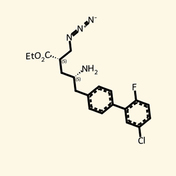 CCOC(=O)[C@H](CN=[N+]=[N-])C[C@H](N)Cc1ccc(-c2cc(Cl)ccc2F)cc1